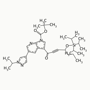 CCCC(C#CC(=O)c1cn(C(=O)OC(C)(C)C)c2ncc(-c3cnn(C(C)C)c3)cc12)O[Si](C(C)C)(C(C)C)C(C)C